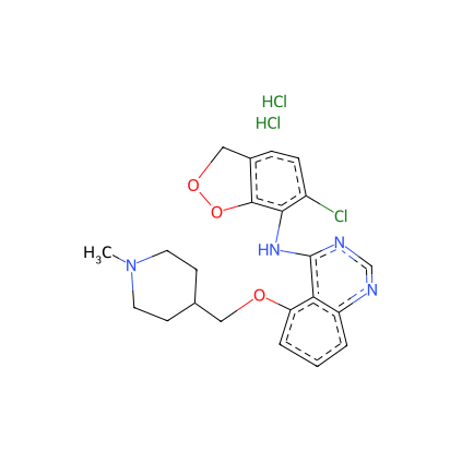 CN1CCC(COc2cccc3ncnc(Nc4c(Cl)ccc5c4OOC5)c23)CC1.Cl.Cl